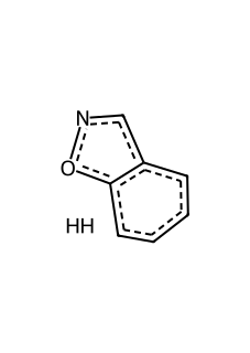 [HH].c1ccc2oncc2c1